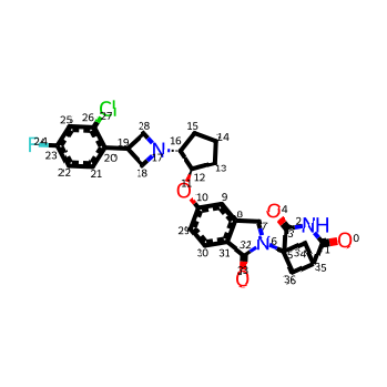 O=C1NC(=O)C2(N3Cc4cc(O[C@@H]5CCC[C@H]5N5CC(c6ccc(F)cc6Cl)C5)ccc4C3=O)CC1C2